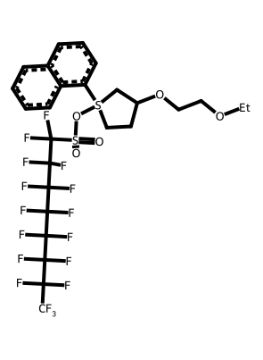 CCOCCOC1CCS(OS(=O)(=O)C(F)(F)C(F)(F)C(F)(F)C(F)(F)C(F)(F)C(F)(F)C(F)(F)C(F)(F)F)(c2cccc3ccccc23)C1